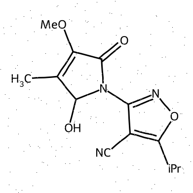 COC1=C(C)C(O)N(c2noc(C(C)C)c2C#N)C1=O